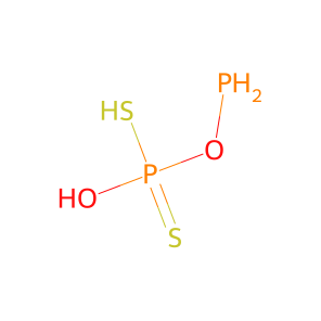 OP(=S)(S)OP